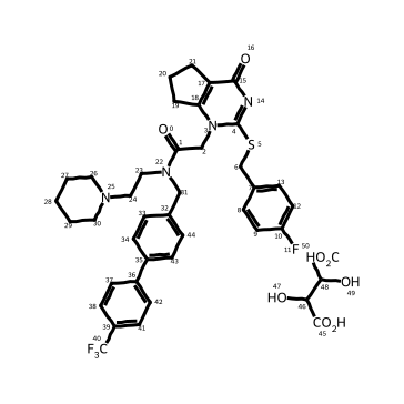 O=C(Cn1c(SCc2ccc(F)cc2)nc(=O)c2c1CCC2)N(CCN1CCCCC1)Cc1ccc(-c2ccc(C(F)(F)F)cc2)cc1.O=C(O)C(O)C(O)C(=O)O